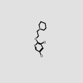 Clc1cnc(OCCN2CCCCC2)c(Cl)c1